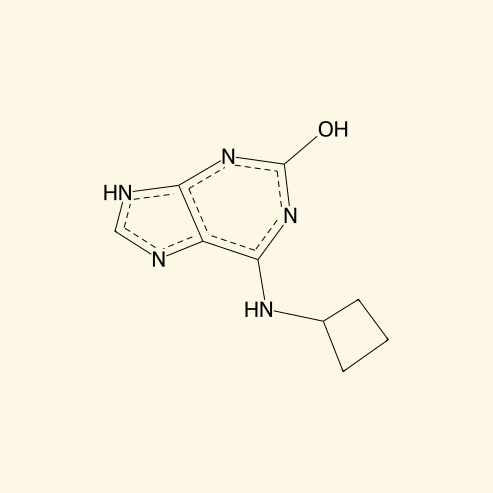 Oc1nc(NC2CCC2)c2nc[nH]c2n1